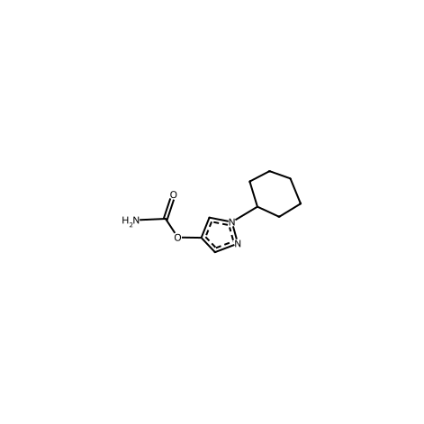 NC(=O)Oc1cnn(C2CCCCC2)c1